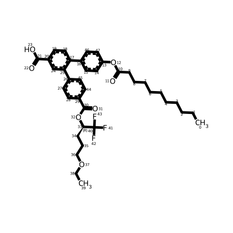 CCCCCCCCCCC(=O)Oc1ccc(-c2ccc(C(=O)O)cc2-c2ccc(C(=O)O[C@H](CCCOCC)C(F)(F)F)cc2)cc1